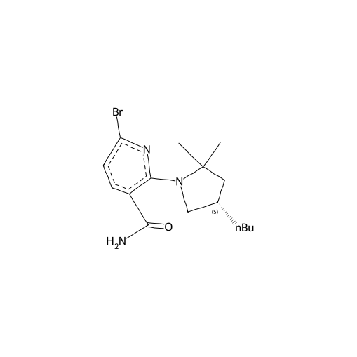 CCCC[C@@H]1CN(c2nc(Br)ccc2C(N)=O)C(C)(C)C1